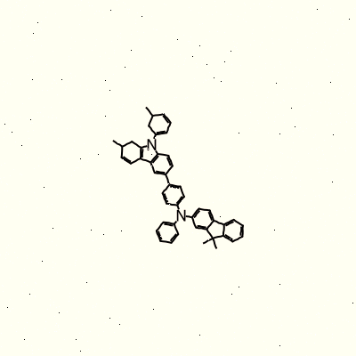 CC1C=CC=C(n2c3c(c4cc(-c5ccc(N(c6ccccc6)c6ccc7c(c6)C(C)(C)c6ccccc6-7)cc5)ccc42)C=CC(C)C3)C1